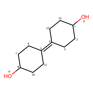 OC1CCC(=C2CCC(O)CC2)CC1